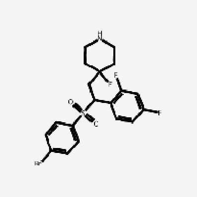 O=S(=O)(c1ccc(Br)cc1)C(CC1(F)CCNCC1)c1ccc(F)cc1F